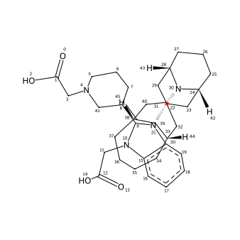 O=C(O)CN1CCC/C(=C2/N(CC(=O)O)c3ccccc3N2[C@H]2C[C@H]3CCC[C@@H](C2)N3[C@@H]2C[C@@H]3CCCC[C@@H](C3)C2)C1